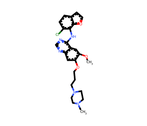 COc1cc2c(Nc3c(Cl)ccc4ccoc34)ncnc2cc1OCCCN1CCN(C)CC1